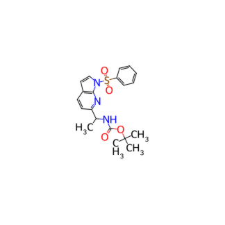 CC(NC(=O)OC(C)(C)C)c1ccc2ccn(S(=O)(=O)c3ccccc3)c2n1